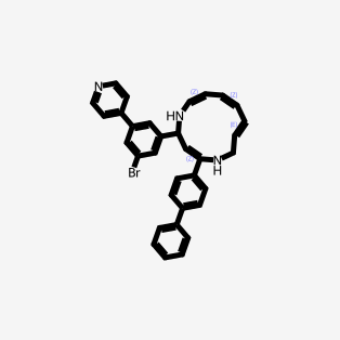 Brc1cc(-c2ccncc2)cc(C2/C=C(/c3ccc(-c4ccccc4)cc3)NC/C=C/C=C\C=C/N2)c1